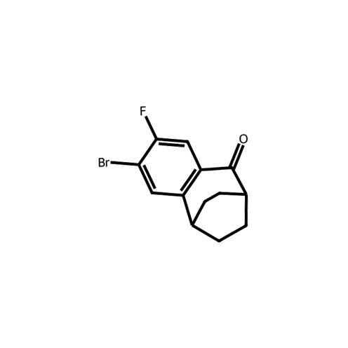 O=C1c2cc(F)c(Br)cc2C2CCC1CC2